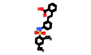 Cc1ccc(S(=O)(=O)Nc2cccc(CCc3ccccc3C(=O)O)c2)c(C)c1